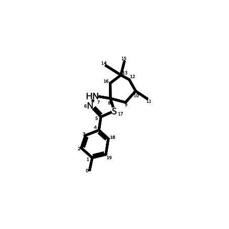 Cc1ccc(C2=NNC3(CC(C)CC(C)(C)C3)S2)cc1